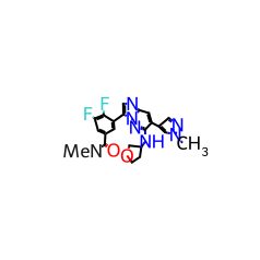 CNC(=O)c1cc(F)c(F)c(-c2cnc3cc(-c4cnn(C)c4)c(NC4CCOC4)nn23)c1